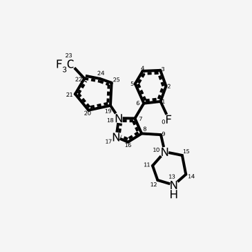 Fc1ccccc1-c1c(CN2CCNCC2)cnn1-c1ccc(C(F)(F)F)cc1